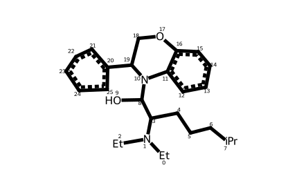 CCN(CC)C(CCCC(C)C)C(O)N1c2ccccc2OCC1c1ccccc1